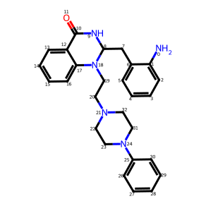 Nc1ccccc1CC1NC(=O)c2ccccc2N1CCN1CCN(c2ccccc2)CC1